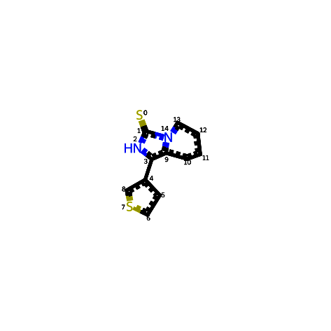 S=c1[nH]c(-c2ccsc2)c2ccccn12